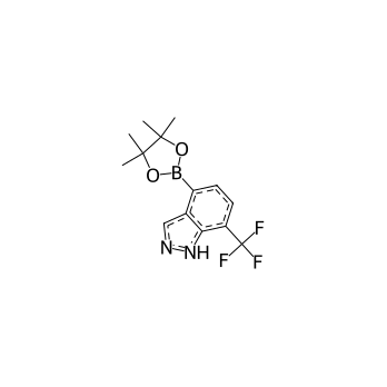 CC1(C)OB(c2ccc(C(F)(F)F)c3[nH]ncc23)OC1(C)C